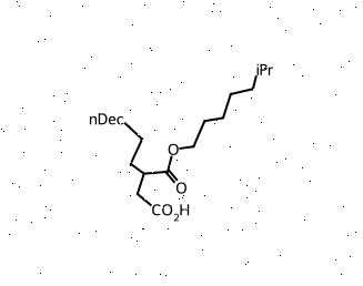 CCCCCCCCCCCCC(CC(=O)O)C(=O)OCCCCCC(C)C